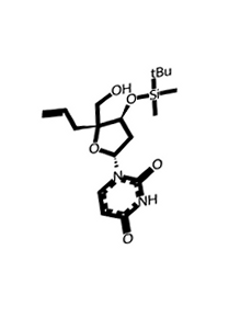 C=CC[C@]1(CO)O[C@@H](n2ccc(=O)[nH]c2=O)C[C@@H]1O[Si](C)(C)C(C)(C)C